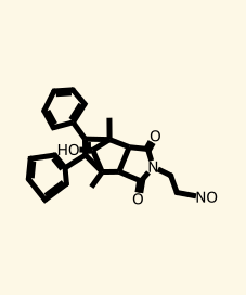 CC12C(c3ccccc3)=C(c3ccccc3)C(C)(C3C(=O)N(CCN=O)C(=O)C31)C2O